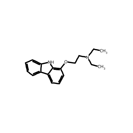 CCN(CC)CCOc1cccc2c1[nH]c1ccccc12